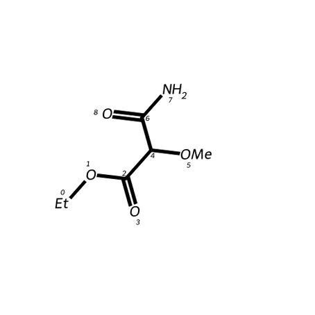 CCOC(=O)C(OC)C(N)=O